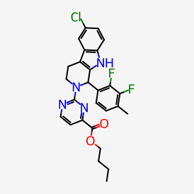 CCCCOC(=O)c1ccnc(N2CCc3c([nH]c4ccc(Cl)cc34)C2c2ccc(C)c(F)c2F)n1